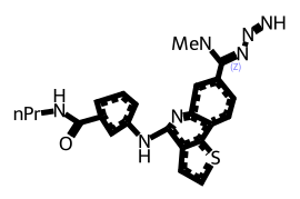 CCCNC(=O)c1cccc(Nc2nc3cc(/C(=N/N=N)NC)ccc3c3sccc23)c1